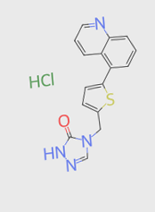 Cl.O=c1[nH]ncn1Cc1ccc(-c2cccc3ncccc23)s1